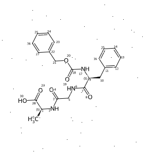 C[C@H](NC(=O)CNC(=O)[C@H](Cc1ccccc1)NC(=O)OCc1ccccc1)C(=O)O